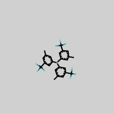 Cc1cc(B(c2cc(C)cc(C(F)(F)F)c2)c2cc(C)cc(C(F)(F)F)c2)cc(C(F)(F)F)c1